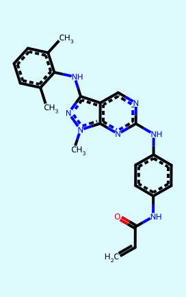 C=CC(=O)Nc1ccc(Nc2ncc3c(Nc4c(C)cccc4C)nn(C)c3n2)cc1